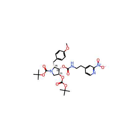 COc1ccc(C[C@@H]2[C@H](OC(=O)NCCc3ccnc([N+](=O)[O-])c3)[C@@H](OC(=O)OC(C)(C)C)CN2C(=O)OC(C)(C)C)cc1